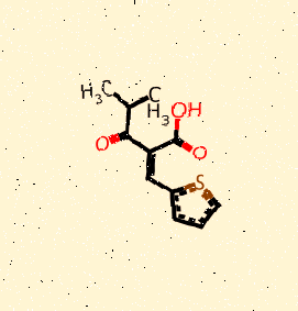 CC(C)C(=O)C(=Cc1cccs1)C(=O)O